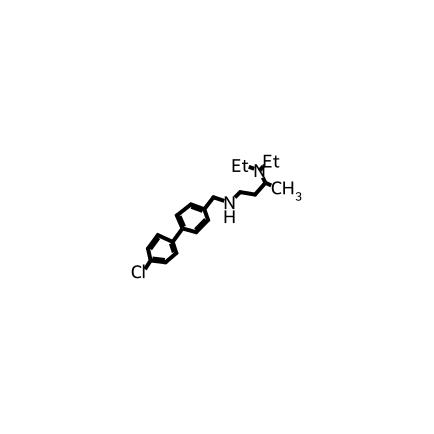 CCN(CC)C(C)CCNCc1ccc(-c2ccc(Cl)cc2)cc1